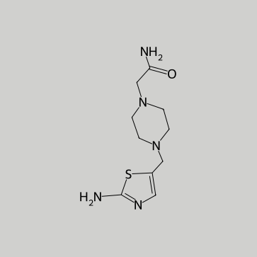 NC(=O)CN1CCN(Cc2cnc(N)s2)CC1